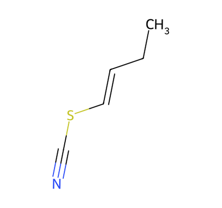 CCC=CSC#N